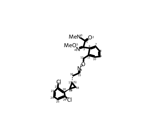 CNC(=O)C(=NOC)c1ccccc1CON=CC[C@@H]1C[C@H]1c1c(Cl)cccc1Cl